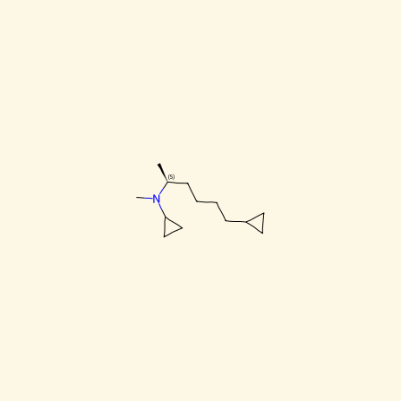 C[C@@H](CCCCC1CC1)N(C)C1CC1